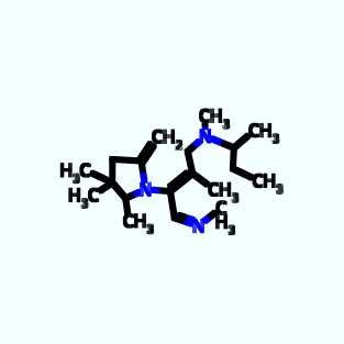 C=C1CC(C)(C)C(C)N1C(/C=N\C)=C(/C)CN(C)C(C)CC